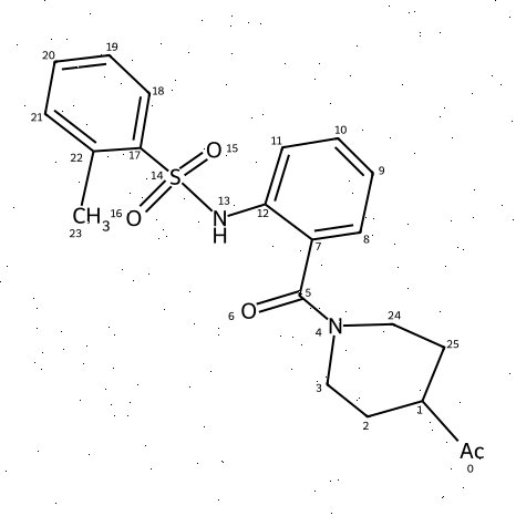 CC(=O)C1CCN(C(=O)c2ccccc2NS(=O)(=O)c2ccccc2C)CC1